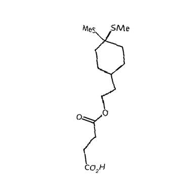 CSC1(SC)CCC(CCOC(=O)CCC(=O)O)CC1